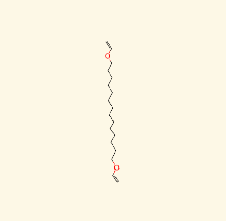 C=COCCCCCCCCCCCCCCOC=C